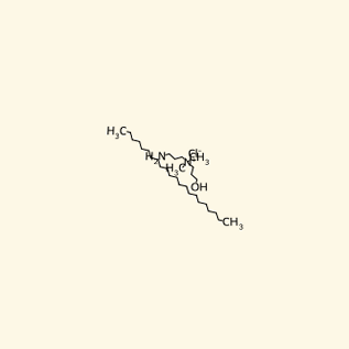 CCCCCCCCCCCCCCCCCCCCCC.C[N+](C)(CCCN)CCCO.[Cl-]